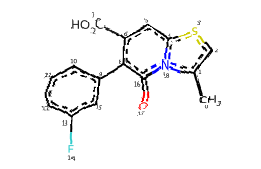 Cc1csc2cc(C(=O)O)c(-c3cccc(F)c3)c(=O)n12